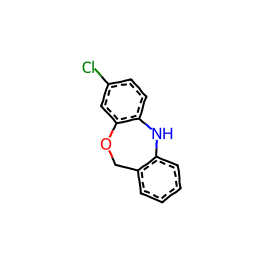 Clc1ccc2c(c1)OCc1ccccc1N2